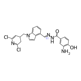 Nc1cc(C(=O)N/N=C/c2cccc3c2ccn3CC2C=C(Cl)N=C(Cl)C2)ccc1O